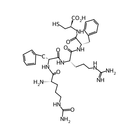 N=C(N)NCCC[C@H](NC(=O)[C@@H](Cc1ccccc1)NC(=O)[C@@H](N)CCCNC(N)=O)C(=O)N[C@@H](Cc1ccccc1)C(=O)N[C@@H](CS)C(=O)O